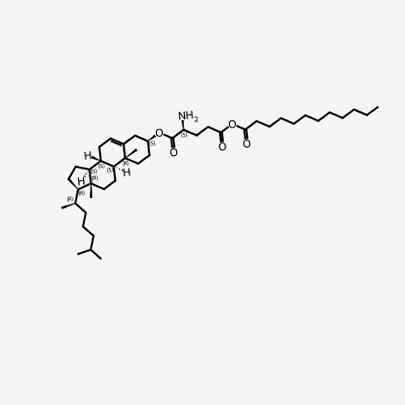 CCCCCCCCCCCC(=O)OC(=O)CC[C@H](N)C(=O)O[C@H]1CC[C@@]2(C)C(=CC[C@H]3[C@@H]4CC[C@H]([C@H](C)CCCC(C)C)[C@@]4(C)CC[C@@H]32)C1